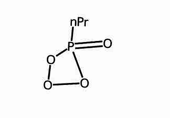 CCCP1(=O)OOO1